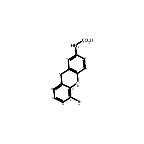 O=C(O)Nc1ccc2c(c1)Cc1cccc(Br)c1O2